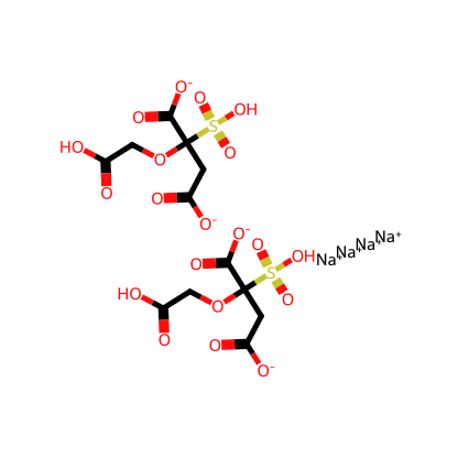 O=C([O-])CC(OCC(=O)O)(C(=O)[O-])S(=O)(=O)O.O=C([O-])CC(OCC(=O)O)(C(=O)[O-])S(=O)(=O)O.[Na+].[Na+].[Na+].[Na+]